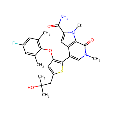 CCn1c(C(N)=O)cc2c(-c3sc(CC(C)(C)O)cc3Oc3c(C)cc(F)cc3C)cn(C)c(=O)c21